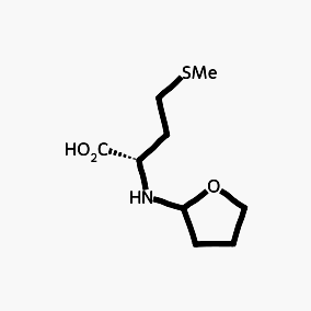 CSCC[C@H](NC1CCCO1)C(=O)O